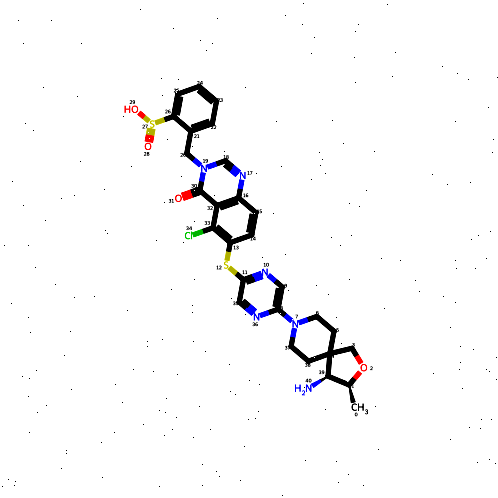 C[C@@H]1OCC2(CCN(c3cnc(Sc4ccc5ncn(Cc6ccccc6S(=O)O)c(=O)c5c4Cl)cn3)CC2)[C@@H]1N